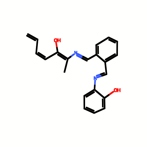 C=C\C=C/C(O)=C(C)/N=C/c1ccccc1/C=N/c1ccccc1O